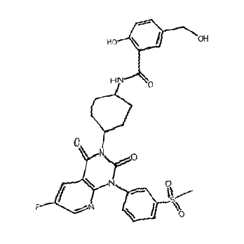 CS(=O)(=O)c1cccc(-n2c(=O)n(C3CCC(NC(=O)c4cc(CO)ccc4O)CC3)c(=O)c3cc(F)cnc32)c1